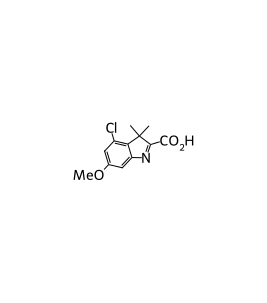 COc1cc(Cl)c2c(c1)N=C(C(=O)O)C2(C)C